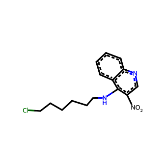 O=[N+]([O-])c1cnc2ccccc2c1NCCCCCCCl